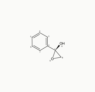 O[C@@]1(c2ccccc2)CO1